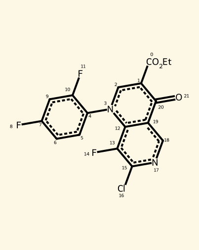 CCOC(=O)c1cn(-c2ccc(F)cc2F)c2c(F)c(Cl)ncc2c1=O